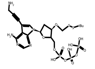 CC(C)(C)SSCO[C@@H]1C[C@H](n2cc(C#CCN)c3c(N)ncnc32)OC1COP(=O)(O)OP(=O)(O)OP(=O)(O)O